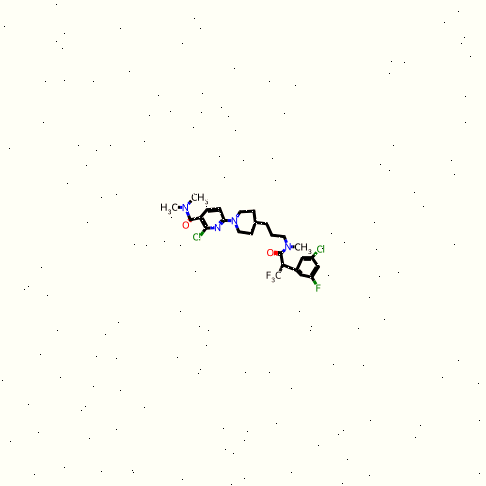 CN(C)C(=O)c1ccc(N2CCC(CCCN(C)C(=O)C(c3cc(F)cc(Cl)c3)C(F)(F)F)CC2)nc1Cl